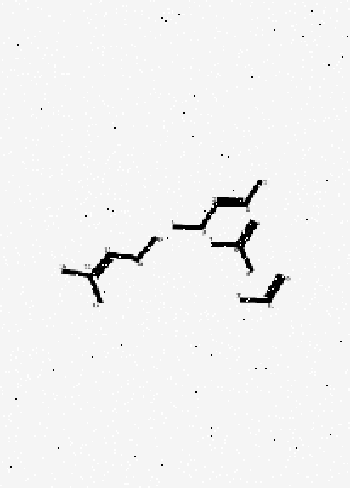 C/C=C/CC.C=C(C)C.C=CC.CCC=C(C)C